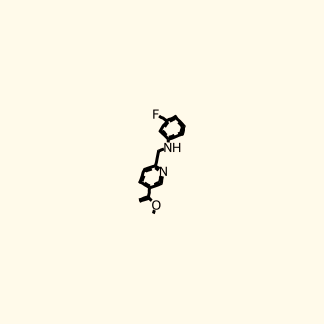 C=C(OC)c1ccc(CNc2cccc(F)c2)nc1